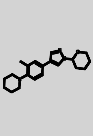 Cc1cc(-c2cnn(C3CCCCO3)c2)ccc1N1CCCCC1